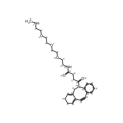 CNCCOCCOCCOCCNC(=O)CCC(=O)N1CC2=CCCC=C2C#Cc2ccccc21